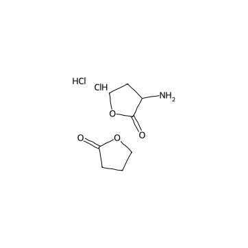 Cl.Cl.NC1CCOC1=O.O=C1CCCO1